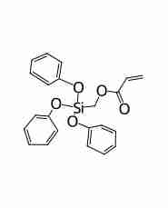 C=CC(=O)OC[Si](Oc1ccccc1)(Oc1ccccc1)Oc1ccccc1